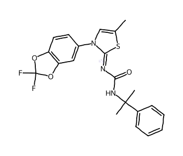 Cc1cn(-c2ccc3c(c2)OC(F)(F)O3)/c(=N/C(=O)NC(C)(C)c2ccccc2)s1